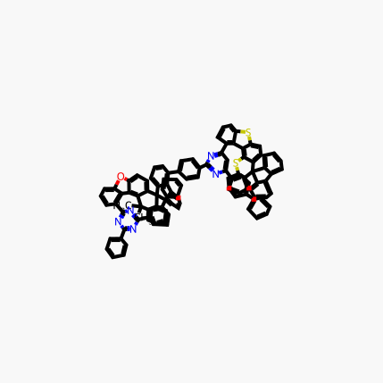 CC1(C)c2ccccc2C2(c3ccccc3-c3c(-c4ccc(-c5nc(-c6ccc(-c7ccccc7)cc6)cc(-c6cccc7sc8ccc9c(c8c67)Sc6ccccc6C96c7ccccc7-c7ccccc76)n5)cc4)cccc32)c2ccc3oc4cccc(-c5nc(-c6ccccc6)nc(-c6cccc(-c7ccccc7)c6)n5)c4c3c21